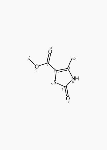 COC(=O)c1sc(=O)[nH]c1C